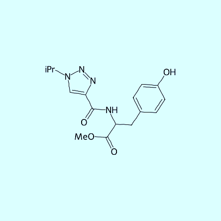 COC(=O)C(Cc1ccc(O)cc1)NC(=O)c1cn(C(C)C)nn1